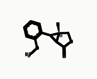 O=C1OC[C@H]2C1C2c1ccccc1OP